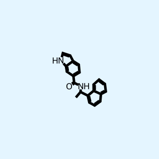 CC(NC(=O)c1ccc2cc[nH]c2c1)c1cccc2ccccc12